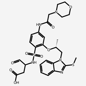 CSc1nc2ccccc2n1C[C@@H](C)Oc1cc(NC(=O)CN2CCOCC2)ccc1S(=O)(=O)NC(C=O)CC(=O)O